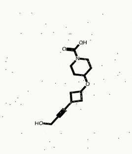 O=C(O)N1CCC(OC2CC(C#CCO)C2)CC1